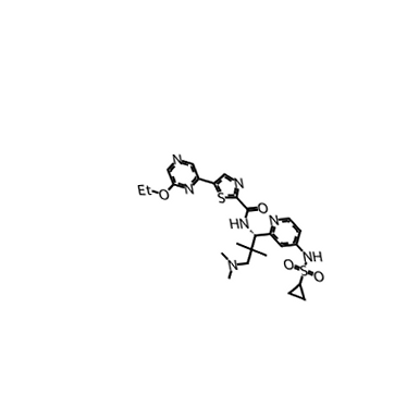 CCOc1cncc(-c2cnc(C(=O)N[C@H](c3cc(NS(=O)(=O)C4CC4)ccn3)C(C)(C)CN(C)C)s2)n1